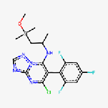 CO[Si](C)(C)CC(C)Nc1c(-c2c(F)cc(F)cc2F)c(Cl)nc2ncnn12